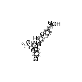 CCC(=O)Cc1c[nH]/c(=N\c2ccc(Oc3cccc(CCC(=O)O)c3)cc2)n(Cc2ccc(Cl)cc2)c1=O